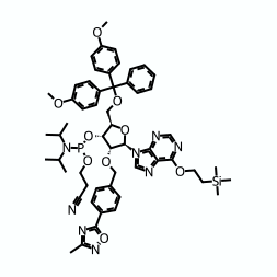 COc1ccc(C(OC[C@H]2O[C@@H](n3cnc4c(OCC[Si](C)(C)C)ncnc43)[C@H](OCc3ccc(-c4nc(C)no4)cc3)[C@@H]2OP(OCCC#N)N(C(C)C)C(C)C)(c2ccccc2)c2ccc(OC)cc2)cc1